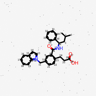 CC(C)CC(NC(=O)c1cc(Cn2ccc3ccccc32)ccc1CCC(=O)O)c1ccccc1